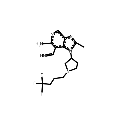 Cc1nc2cnc(N)c(C=N)c2n1C1CCN(CCCC(F)(F)F)C1